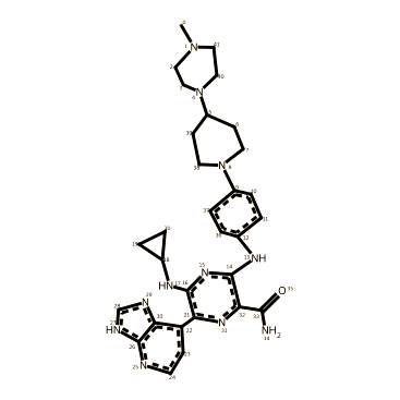 CN1CCN(C2CCN(c3ccc(Nc4nc(NC5CC5)c(-c5ccnc6[nH]cnc56)nc4C(N)=O)cc3)CC2)CC1